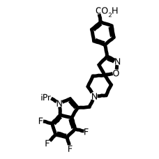 CC(C)n1cc(CN2CCC3(CC2)CC(c2ccc(C(=O)O)cc2)=NO3)c2c(F)c(F)c(F)c(F)c21